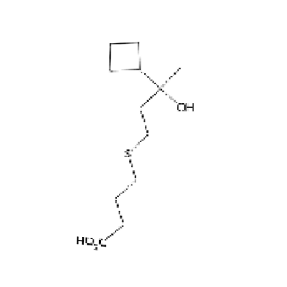 CC(O)(CCSCCCC(=O)O)C1CCC1